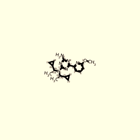 COc1cccc(-c2nc(N)nc(N([C@H](C)C3CC3)[C@H](C)C3CC3)n2)n1